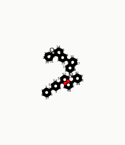 c1ccc(-c2ccc(-c3ccc(N(c4ccc5c(-c6ccc7c(ccc8oc9ccccc9c87)c6)cccc5c4)c4ccccc4-c4ccccc4)cc3)cc2)cc1